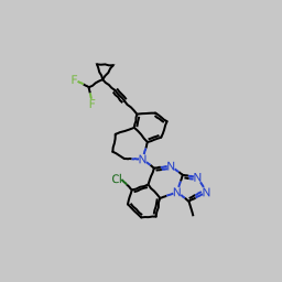 Cc1nnc2nc(N3CCCc4c(C#CC5(C(F)F)CC5)cccc43)c3c(Cl)cccc3n12